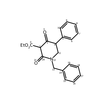 CCOC(=O)C1C(=O)C(c2ccccc2)CN(Cc2ccccc2)C1=O